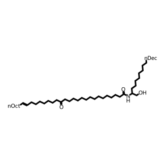 CCCCCCCCC=CCCCCCCCC(=O)CCCCCCCCCCCCCCC(=O)NC(CO)CCCCCCCCCCCCCCCCCC